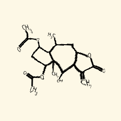 C=C1C(=O)OC2CC(C)C3C(OC(C)=O)CC(OC(C)=O)C3(C)C(O)C12